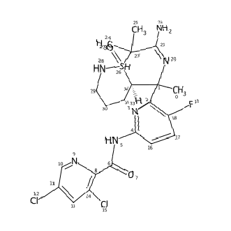 CC1(c2nc(NC(=O)c3ncc(Cl)cc3Cl)ccc2F)N=C(N)C(C)(C)[SH]2(=O)NCCC[C@H]12